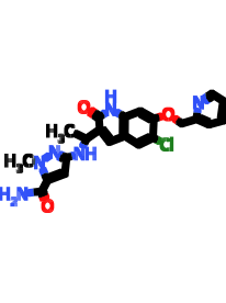 CC(Nc1cc(C(N)=O)n(C)n1)c1cc2cc(Cl)c(OCc3ccccn3)cc2[nH]c1=O